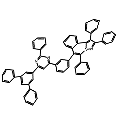 c1ccc(-c2cc(-c3ccccc3)cc(-c3cc(-c4cccc(-c5c(-c6ccccc6)n6nc(-c7ccccc7)c(-c7ccccc7)c6c6ccccc56)c4)nc(-c4ccccc4)n3)c2)cc1